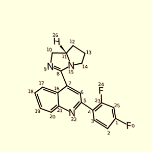 Fc1ccc(-c2cc(C3=NC[C@@H]4CCCN34)c3ccccc3n2)c(F)c1